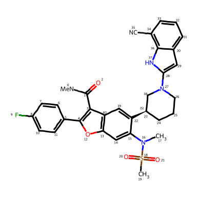 CNC(=O)c1c(-c2ccc(F)cc2)oc2cc(N(C)S(C)(=O)=O)c([C@@H]3CCCN(c4cc5cccc(C#N)c5[nH]4)C3)cc12